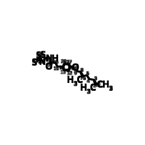 CC(C)=CCC/C(C)=C/COc1ccc(CCC(=O)Nc2nc(=S)ss2)cc1